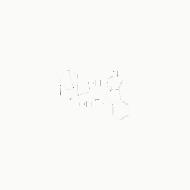 O[C@@H](C[C@@H]1c2ccccc2-c2cncn21)C1(O)C2CC3CC(C2)CC1C3